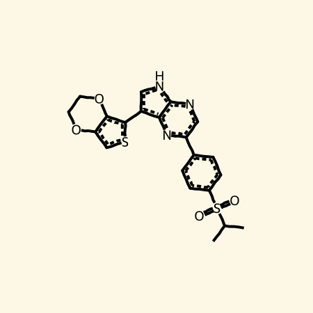 CC(C)S(=O)(=O)c1ccc(-c2cnc3[nH]cc(-c4scc5c4OCCO5)c3n2)cc1